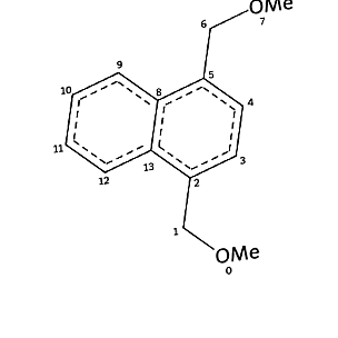 COCc1ccc(COC)c2ccccc12